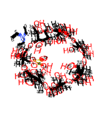 CCN(CC)CC.O=S(=O)(O)OC[C@H]1O[C@@H]2O[C@H]3[C@H](O)[C@@H](O)[C@@H](O[C@H]4[C@H](O)[C@@H](O)[C@@H](O[C@H]5[C@H](O)[C@@H](O)[C@@H](O[C@H]6[C@H](O)[C@@H](O)[C@@H](O[C@H]7[C@H](O)[C@@H](O)[C@@H](O[C@H]8[C@H](O)[C@@H](O)[C@@H](O[C@H]1[C@H](O)[C@H]2O)O[C@@H]8CO)O[C@@H]7CO)O[C@@H]6CO)O[C@@H]5CO)O[C@@H]4CO)O[C@@H]3CO